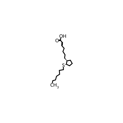 CCCCCCCS[C@H]1CCC[C@@H]1CCCCC=CC(=O)O